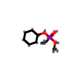 CCCP(=O)(OC1CCCCC1)OC(F)(F)F